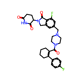 O=C1CCC(N2Cc3cc(CN4CCN(C(=O)C5=C(c6ccc(F)cc6)CCCC5)CC4)cc(F)c3C2=O)C(=O)N1